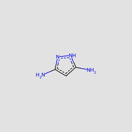 Nc1cc(N)[nH]n1